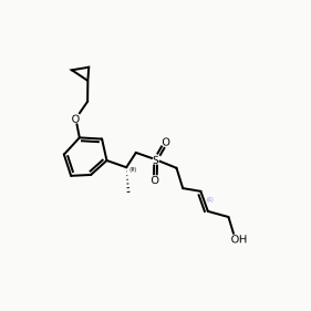 C[C@@H](CS(=O)(=O)CC/C=C/CO)c1cccc(OCC2CC2)c1